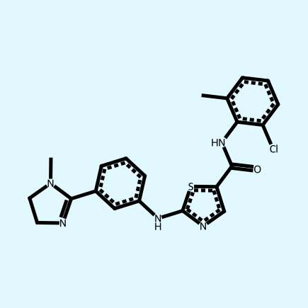 Cc1cccc(Cl)c1NC(=O)c1cnc(Nc2cccc(C3=NCCN3C)c2)s1